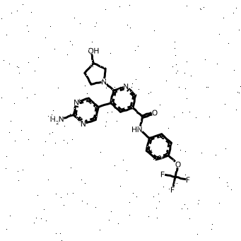 Nc1ncc(-c2cc(C(=O)Nc3ccc(OC(F)(F)F)cc3)cnc2N2CCC(O)C2)cn1